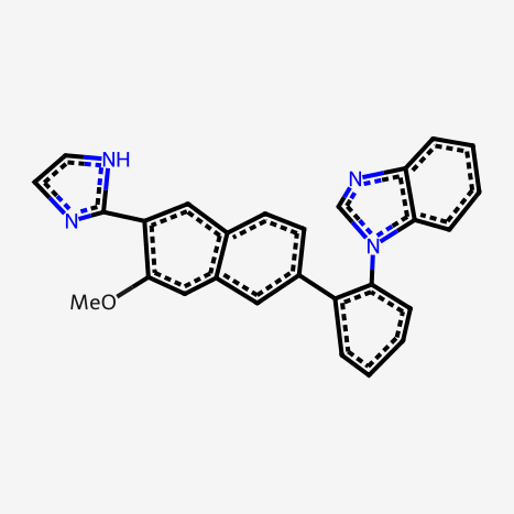 COc1cc2cc(-c3ccccc3-n3cnc4ccccc43)ccc2cc1-c1ncc[nH]1